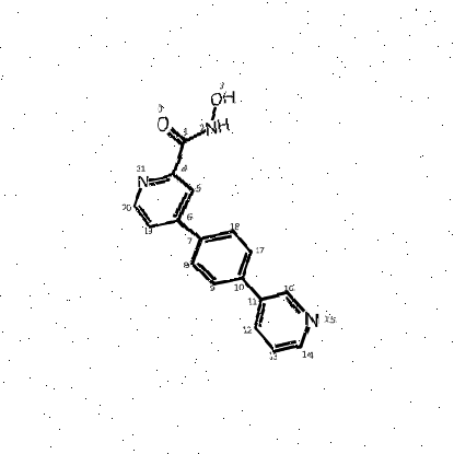 O=C(NO)c1cc(-c2ccc(-c3cccnc3)cc2)ccn1